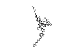 CCCCCCCCOc1cnc(-c2ccc(C(OC(c3ccc(-c4ncc(OCCCCCCCC)cn4)cc3)[C@H]3OC(=O)O[C@@H]3CCC)C3OC(=O)OC3CCC)cc2)nc1